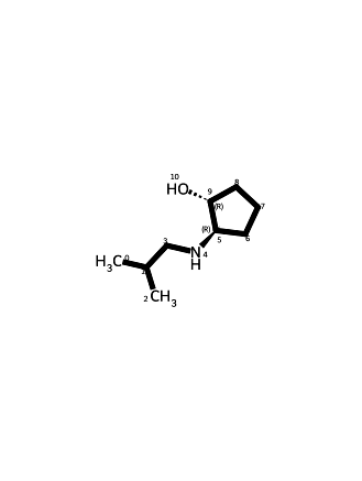 CC(C)CN[C@@H]1CCC[C@H]1O